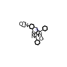 COc1ccccc1-c1nnc2/c(=C\c3ccc(N4CCOCC4)cc3C)c(-c3ccccc3)nn12